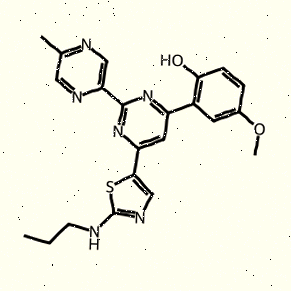 CCCNc1ncc(-c2cc(-c3cc(OC)ccc3O)nc(-c3cnc(C)cn3)n2)s1